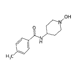 Cc1ccc(C(=O)NC2CCN(O)CC2)cc1